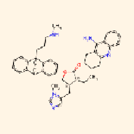 CC[C@@H]1C(=O)OC[C@@H]1Cc1cncn1C.CNCCCC12CCC(c3ccccc31)c1ccccc12.Nc1c2c(nc3ccccc13)CCCC2